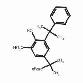 CCCCCC(C)(C)c1cc(C(=O)O)c(O)c(C(C)(C)c2ccccc2)c1